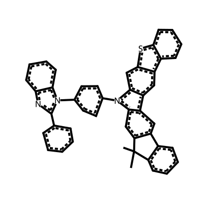 CC1(C)c2ccccc2-c2cc3c4cc5c(cc4n(-c4ccc(-n6c(-c7ccccc7)nc7ccccc76)cc4)c3cc21)sc1ccccc15